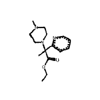 CCOC(=O)C(C)(c1ccccn1)N1CCN(C)CC1